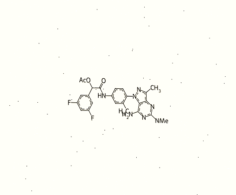 CNc1nc(N)c2c(n1)c(C)nn2-c1ccc(NC(=O)C(OC(C)=O)c2cc(F)cc(F)c2)cc1C